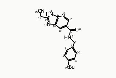 CC(C)(C)c1ccc(CNC(=O)c2cnc3[nH]c(CC#N)nc3c2)cc1